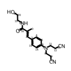 C/C(=C\c1ccc(N(CCC#N)CCC#N)cc1)C(=O)NCCO